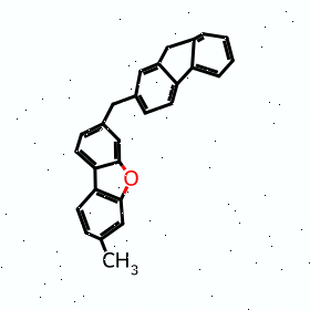 Cc1ccc2c(c1)oc1cc(Cc3ccc4c(c3)Cc3ccccc3-4)ccc12